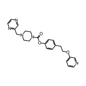 O=C(Oc1ccc(CCOc2cccnc2)cc1)N1CCN(Cc2cnccn2)CC1